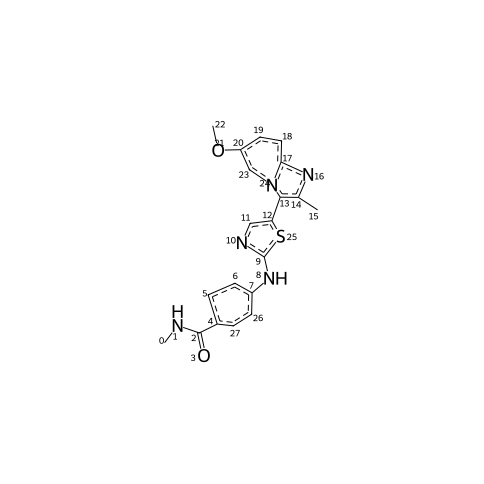 CNC(=O)c1ccc(Nc2ncc(-c3c(C)nc4ccc(OC)cn34)s2)cc1